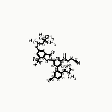 CN(Cc1cc2c(c(C(F)(F)F)c1)CN(c1cc(-c3cc(C#N)ccc3-c3nncn3C)cc(NCCC#N)n1)C2=O)CC(C)(C)C